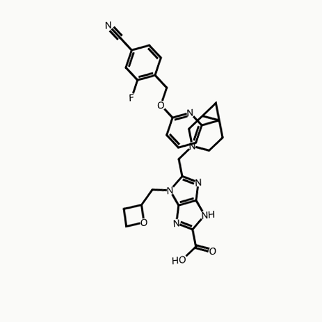 N#Cc1ccc(COc2cccc(C34CCN(Cc5nc6[nH]c(C(=O)O)nc6n5CC5CCO5)CC3C4)n2)c(F)c1